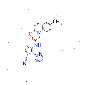 Cc1ccc2c(ccc(=O)n2CC(=O)Nc2scc(C#N)c2-n2nccn2)c1